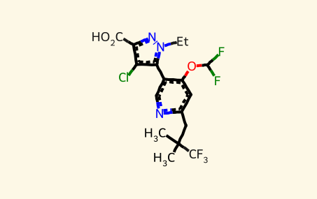 CCn1nc(C(=O)O)c(Cl)c1-c1cnc(CC(C)(C)C(F)(F)F)cc1OC(F)F